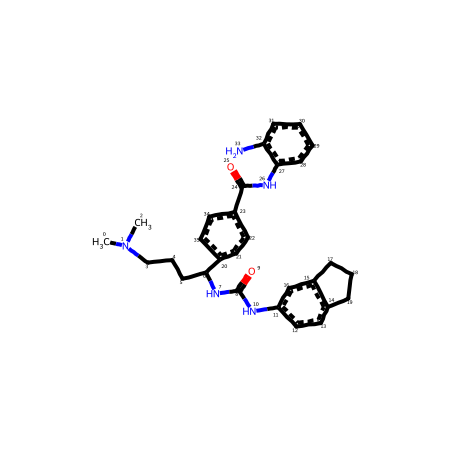 CN(C)CCCC(NC(=O)Nc1ccc2c(c1)CCC2)c1ccc(C(=O)Nc2ccccc2N)cc1